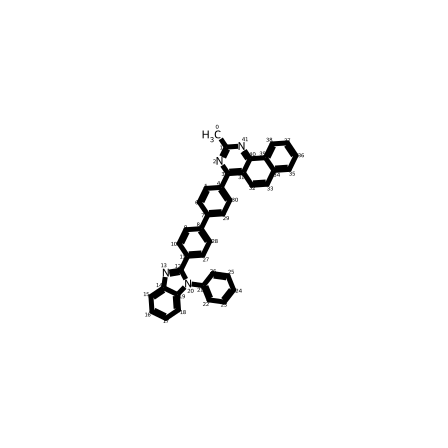 Cc1nc(-c2ccc(-c3ccc(-c4nc5ccccc5n4-c4ccccc4)cc3)cc2)c2ccc3ccccc3c2n1